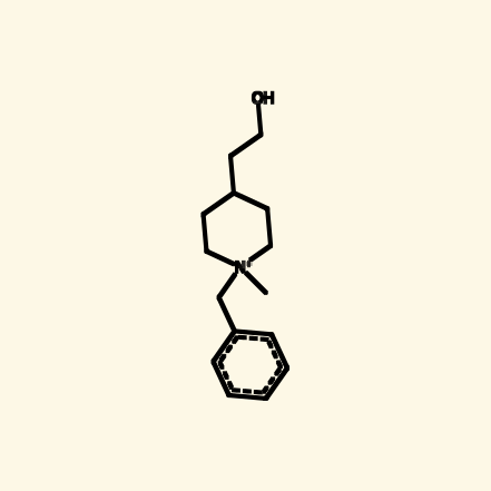 C[N+]1(Cc2ccccc2)CCC(CCO)CC1